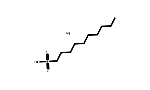 CCCCCCCCCCS(=O)(=O)O.[Ag]